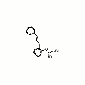 CC(C)(C)C(Oc1ccccc1CC=Cc1ccccc1)C(C)(C)C